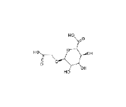 O=C(O)CO[C@H]1OC(C(=O)O)[C@@H](O)C(O)C1O